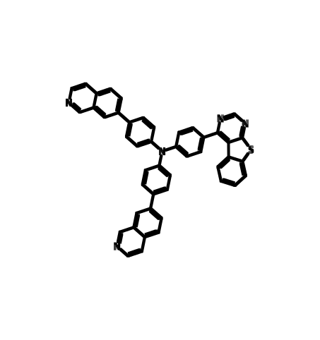 c1ccc2c(c1)sc1ncnc(-c3ccc(N(c4ccc(-c5ccc6ccncc6c5)cc4)c4ccc(-c5ccc6ccncc6c5)cc4)cc3)c12